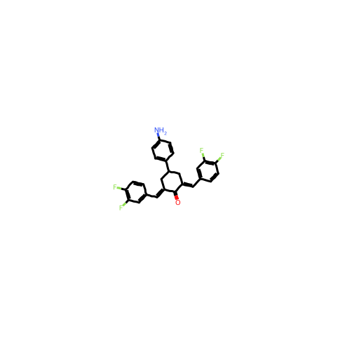 Nc1ccc(C2C/C(=C\c3ccc(F)c(F)c3)C(=O)/C(=C/c3ccc(F)c(F)c3)C2)cc1